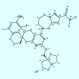 Cc1cc(N)c(F)c2c1CCC[C@@]21Cc2nc(OC[C@@]34CCCN3C[C@H](F)C4)nc(N3CCCn4nc(C(=O)N(C)C)cc4C3)c2CO1